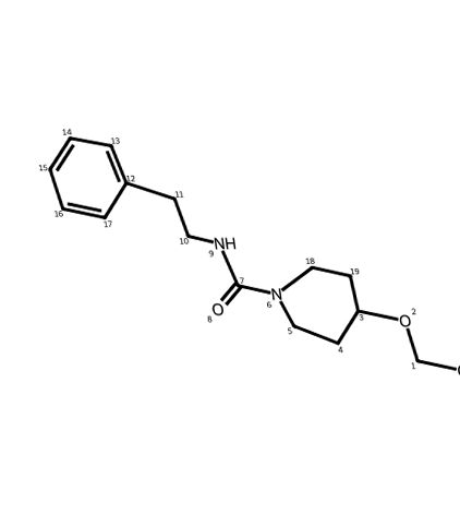 COCOC1CCN(C(=O)NCCc2ccccc2)CC1